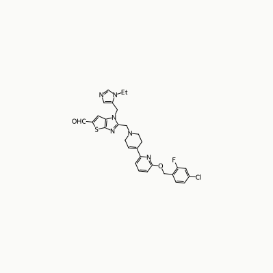 CCn1cncc1Cn1c(CN2CC=C(c3cccc(OCc4ccc(Cl)cc4F)n3)CC2)nc2sc(C=O)cc21